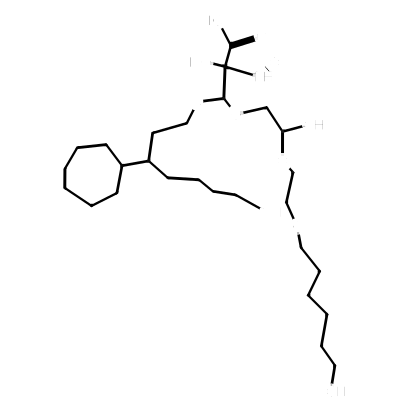 CCCCCCCCCCOC(C)COC(SCCC(CCCCC)C1CCCCCC1)C(O)([PH2]=O)C(=O)O